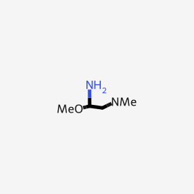 CNCC(N)OC